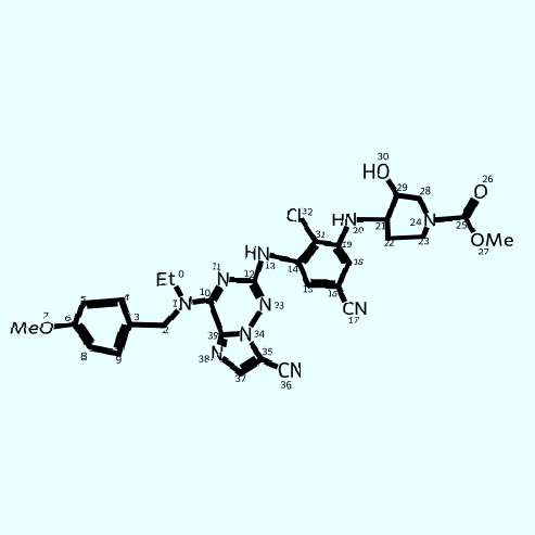 CCN(Cc1ccc(OC)cc1)c1nc(Nc2cc(C#N)cc(NC3CCN(C(=O)OC)CC3O)c2Cl)nn2c(C#N)cnc12